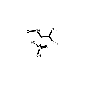 CC(C)CNCl.O=[PH](O)O